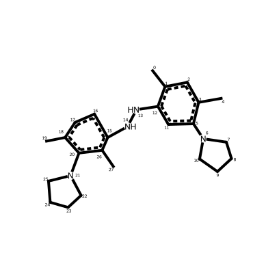 Cc1cc(C)c(N2CCCC2)cc1NNc1ccc(C)c(N2CCCC2)c1C